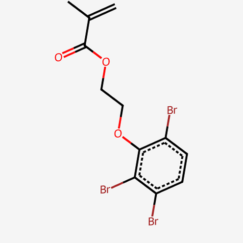 C=C(C)C(=O)OCCOc1c(Br)ccc(Br)c1Br